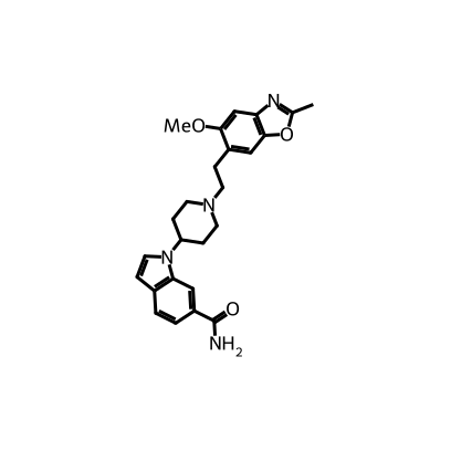 COc1cc2nc(C)oc2cc1CCN1CCC(n2ccc3ccc(C(N)=O)cc32)CC1